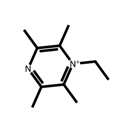 CC[n+]1c(C)c(C)nc(C)c1C